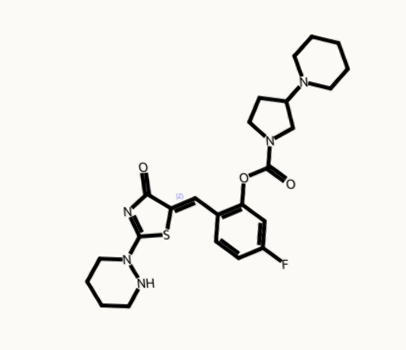 O=C1N=C(N2CCCCN2)S/C1=C\c1ccc(F)cc1OC(=O)N1CCC(N2CCCCC2)C1